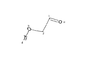 O=[C]C[O][Ti]